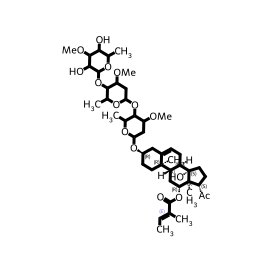 C/C=C(\C)C(=O)O[C@@H]1C[C@H]2[C@@H](CC=C3C[C@H](OC4CC(OC)C(OC5CC(OC)C(OC6OC(C)C(O)C(OC)C6O)C(C)O5)C(C)O4)CC[C@@]32C)[C@@]2(O)CC[C@H](C(C)=O)[C@@]12C